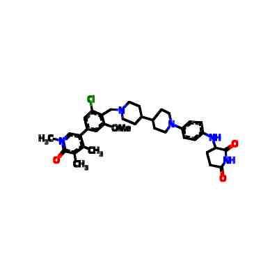 COc1cc(-c2cn(C)c(=O)c(C)c2C)cc(Cl)c1CN1CCC(C2CCN(c3ccc(NC4CCC(=O)NC4=O)cc3)CC2)CC1